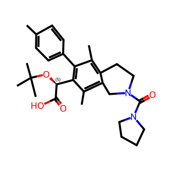 Cc1ccc(-c2c(C)c3c(c(C)c2[C@H](OC(C)(C)C)C(=O)O)CN(C(=O)N2CCCC2)CC3)cc1